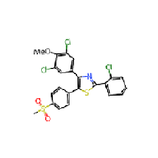 COc1c(Cl)cc(-c2nc(-c3ccccc3Cl)sc2-c2ccc(S(C)(=O)=O)cc2)cc1Cl